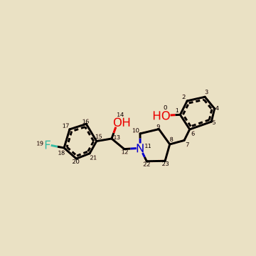 Oc1ccccc1CC1CCN(CC(O)c2ccc(F)cc2)CC1